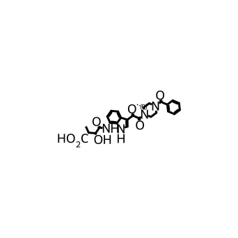 CC(C(=O)O)C(O)C(=O)Nc1cccc2c(C(=O)C(=O)N3CCN(C(=O)c4ccccc4)C[C@H]3C)c[nH]c12